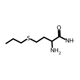 CCCSCCC(N)C([NH])=O